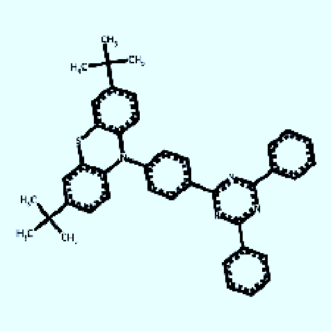 CC(C)(C)c1ccc2c(c1)Sc1cc(C(C)(C)C)ccc1N2c1ccc(-c2nc(-c3ccccc3)nc(-c3ccccc3)n2)cc1